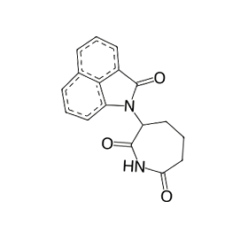 O=C1CCCC(N2C(=O)c3cccc4cccc2c34)C(=O)N1